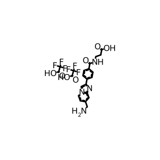 NCc1ccn2cc(-c3ccc(C(=O)NCCC(=O)O)cc3)nc2c1.O=C(O)C(F)(F)F.O=C(O)C(F)(F)F